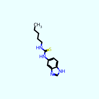 CCCCCNC(=S)Nc1ccc2[nH]cnc2c1